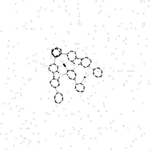 N#Cc1ccccc1-c1cc(-n2c3cc(-c4ccccc4)ccc3c3ccc(-c4ccccc4)cc32)c(C#N)c(-n2c3cc(-c4ccccc4)ccc3c3ccc(-c4ccccc4)cc32)c1